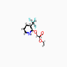 CCOC(=O)COc1ncccc1C(F)(F)F